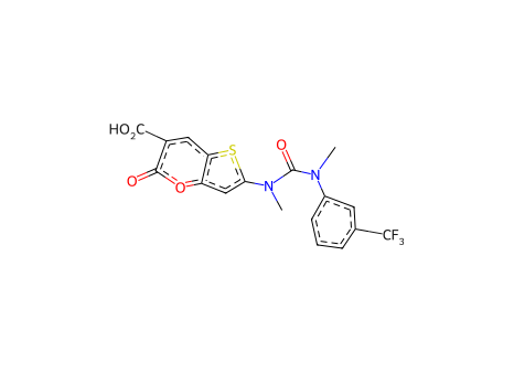 CN(C(=O)N(C)c1cc2oc(=O)c(C(=O)O)cc2s1)c1cccc(C(F)(F)F)c1